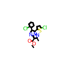 CCOC(=O)c1c(C)nn2c(-c3ccc(Cl)s3)c(-c3ccccc3Cl)cnc12